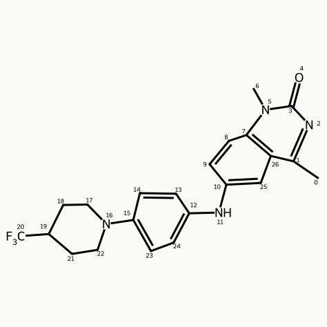 Cc1nc(=O)n(C)c2ccc(Nc3ccc(N4CCC(C(F)(F)F)CC4)cc3)cc12